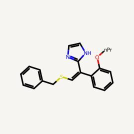 CCCOc1ccccc1/C(=C/SCc1ccccc1)c1ncc[nH]1